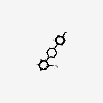 Cc1ccc(C2CCN(c3ccccc3N)CC2)cc1